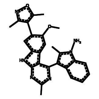 COc1cc2c(cc1-c1c(C)noc1C)[nH]c1nc(C)nc(-c3c(C)n(N)c4ccccc34)c12